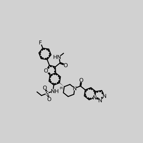 CCS(=O)(=O)Nc1cc2oc(-c3ccc(F)cc3)c(C(=O)NC)c2cc1[C@H]1CCCN(C(=O)c2ccn3nncc3c2)C1